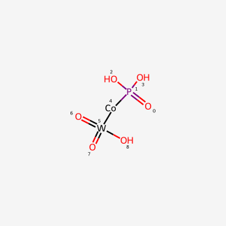 O=[P](O)(O)[Co][W](=[O])(=[O])[OH]